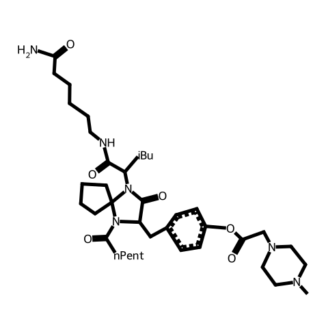 CCCCCC(=O)N1C(Cc2ccc(OC(=O)CN3CCN(C)CC3)cc2)C(=O)N(C(C(=O)NCCCCCC(N)=O)C(C)CC)C12CCCC2